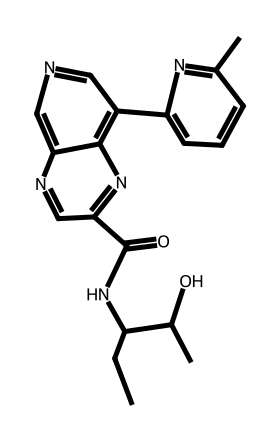 CCC(NC(=O)c1cnc2cncc(-c3cccc(C)n3)c2n1)C(C)O